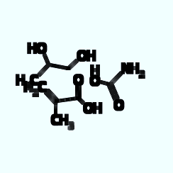 C=C(C)C(=O)O.CC(O)CO.NC(=O)O